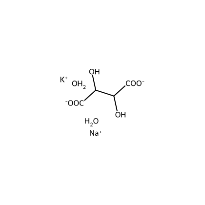 O.O.O=C([O-])C(O)C(O)C(=O)[O-].[K+].[Na+]